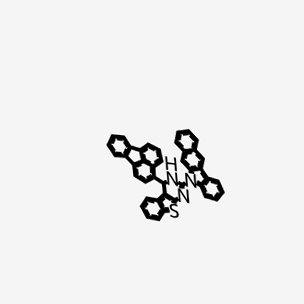 c1ccc2c(c1)-c1cccc3c(C4NC(n5c6ccccc6c6cc7ccccc7cc65)=Nc5sc6ccccc6c54)ccc-2c13